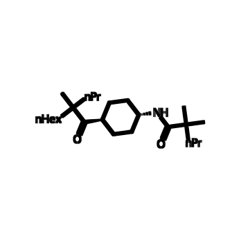 CCCCCCC(C)(CCC)C(=O)[C@H]1CC[C@H](NC(=O)C(C)(C)CCC)CC1